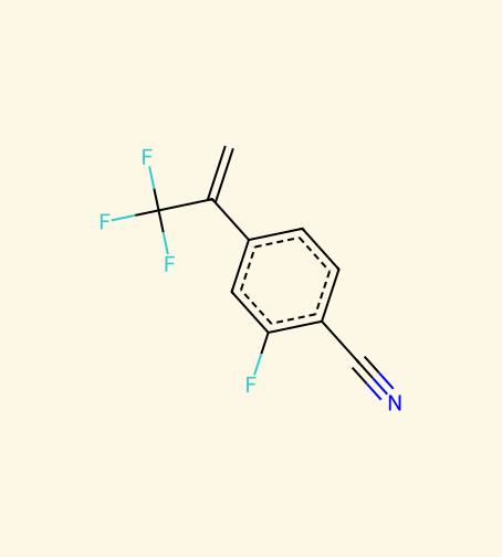 C=C(c1ccc(C#N)c(F)c1)C(F)(F)F